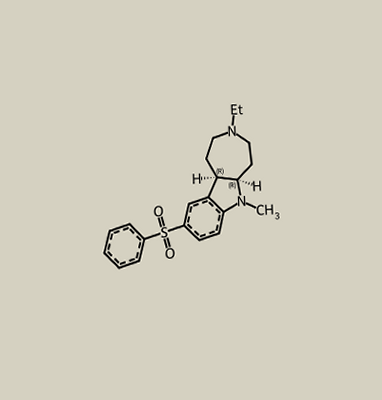 CCN1CC[C@@H]2c3cc(S(=O)(=O)c4ccccc4)ccc3N(C)[C@@H]2CC1